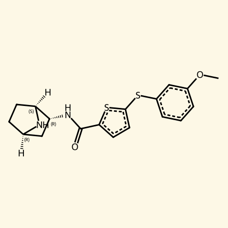 COc1cccc(Sc2ccc(C(=O)N[C@@H]3C[C@H]4CC[C@@H]3N4)s2)c1